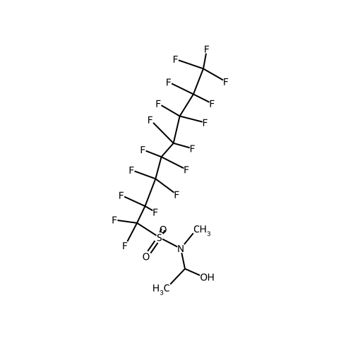 CC(O)N(C)S(=O)(=O)C(F)(F)C(F)(F)C(F)(F)C(F)(F)C(F)(F)C(F)(F)C(F)(F)C(F)(F)F